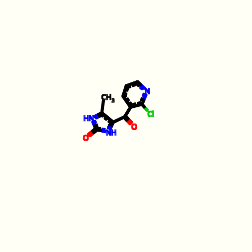 Cc1[nH]c(=O)[nH]c1C(=O)c1cccnc1Cl